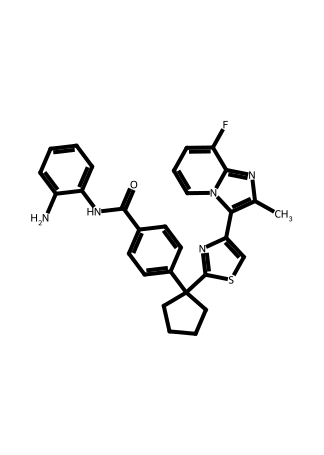 Cc1nc2c(F)cccn2c1-c1csc(C2(c3ccc(C(=O)Nc4ccccc4N)cc3)CCCC2)n1